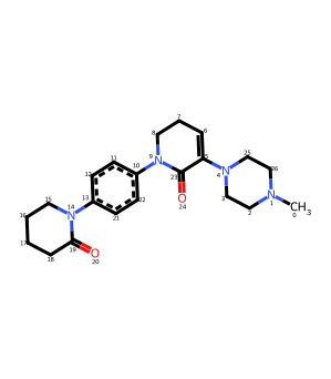 CN1CCN(C2=CCCN(c3ccc(N4CCCCC4=O)cc3)C2=O)CC1